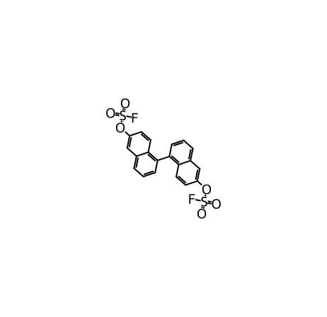 O=S(=O)(F)Oc1ccc2c(-c3cccc4cc(OS(=O)(=O)F)ccc34)cccc2c1